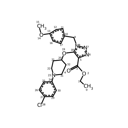 CCOC(=O)c1nnn(Cc2ccc(OC)cc2)c1OC1CCN(c2ccc(Cl)cc2)CC1